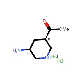 COC(=O)[C@H]1CNC[C@@H](N)C1.Cl.Cl